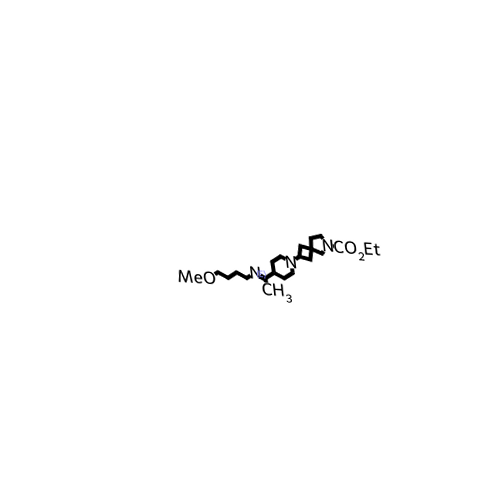 CCOC(=O)N1CCC2(CC(N3CCC(/C(C)=N/CCCCOC)CC3)C2)C1